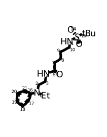 CCN(CCNC(=O)CCCCNS(=O)(=O)C(C)(C)C)c1ccccc1